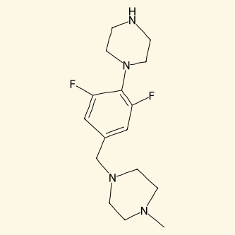 CN1CCN(Cc2cc(F)c(N3CCNCC3)c(F)c2)CC1